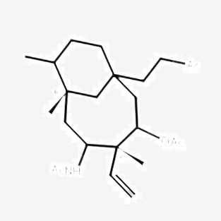 C=C[C@]1(C)C(NC(C)=O)C[C@@]2(C)CC(CCC(C)=O)(CCC2C)CC1OC(C)=O